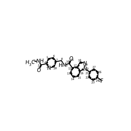 CNC(=O)c1ccc(CNC(=O)c2cccc3c2cnn3-c2ccc(F)cc2)cn1